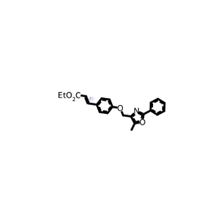 CCOC(=O)/C=C/c1ccc(OCc2nc(-c3ccccc3)oc2C)cc1